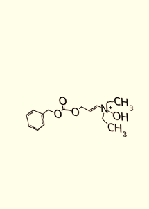 CC[N+](O)(/C=C/COC(=O)OCc1ccccc1)CC